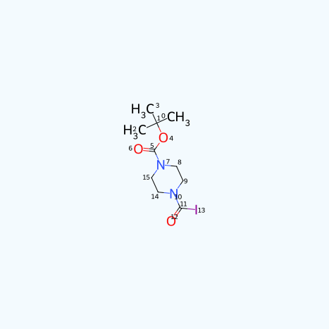 CC(C)(C)OC(=O)N1CCN(C(=O)I)CC1